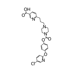 O=C(O)c1ccc(CCCN2CCN(C(=O)Oc3ccc(Oc4ccc(Cl)cn4)cc3)CC2)nc1